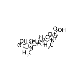 CCN1/C(=C/C=C2\CCC(/C=C/C3=[N+](CC)c4ccc(C(=O)O)cc4C3(C)C)=C2Cl)C(C)(C)c2cc(C(=O)O)ccc21